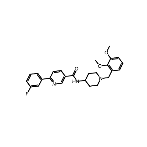 COc1cccc(CN2CCC(NC(=O)c3ccc(-c4cccc(F)c4)nc3)CC2)c1OC